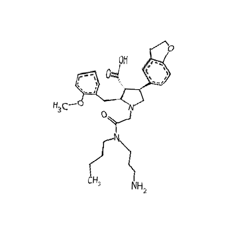 CCCCN(CCCN)C(=O)CN1C[C@H](c2ccc3c(c2)CCO3)[C@@H](C(=O)O)[C@@H]1Cc1ccccc1OC